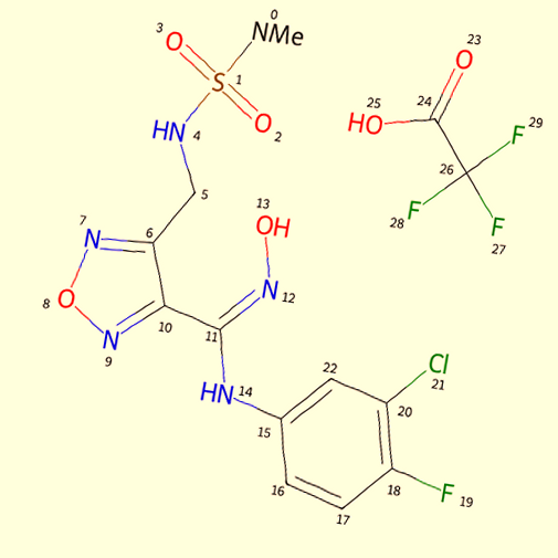 CNS(=O)(=O)NCc1nonc1C(=NO)Nc1ccc(F)c(Cl)c1.O=C(O)C(F)(F)F